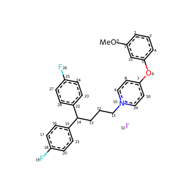 COc1cccc(Oc2cc[n+](CCCC(c3ccc(F)cc3)c3ccc(F)cc3)cc2)c1.[I-]